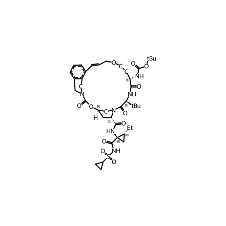 CC[C@@H]1C[C@]1(NC(=O)[C@@H]1C[C@@H]2CN1C(=O)[C@H](C(C)(C)C)NC(=O)[C@@H](NC(=O)OC(C)(C)C)CCOC/C=C/c1cccc3c1CN(C3)C(=O)O2)C(=O)NS(=O)(=O)C1CC1